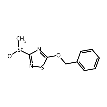 C[S+]([O-])c1nsc(OCc2ccccc2)n1